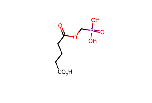 O=C(O)CCCC(=O)OCP(=O)(O)O